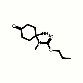 CCCOC(=O)N(C)C1(N)CCC(=O)CC1